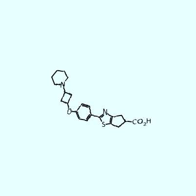 O=C(O)C1Cc2nc(-c3ccc(OC4CC(N5CCCCC5)C4)cc3)sc2C1